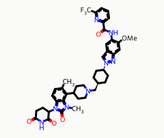 COc1cc2nn([C@H]3CC[C@H](CN4CCC(c5c(C)ccc6c5n(C)c(=O)n6C5CCC(=O)NC5=O)CC4)CC3)cc2cc1NC(=O)c1cccc(C(F)(F)F)n1